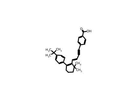 CC1(C)CCCC(c2ccc(C(C)(C)C)cc2)=C1C=CC#Cc1ccc(C(=O)O)cc1